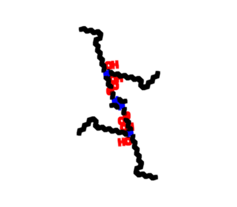 CCCCC/C=C\C/C=C\CCCCCCC(O)CN(CCCC(=O)OCCN1CC(C)N(CCOC(=O)CCCN(CC(O)CCCCCC/C=C\C/C=C\CCCCC)CC(O)CCCCCC/C=C\C/C=C\CCCCC)CC1C)CC(O)CCCCCC/C=C\C/C=C\CCCCC